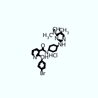 Cc1cnc(NC2CCC(NC(=O)c3cccnc3Oc3ccc(Br)cc3)CC2)nc1N(C)C.Cl